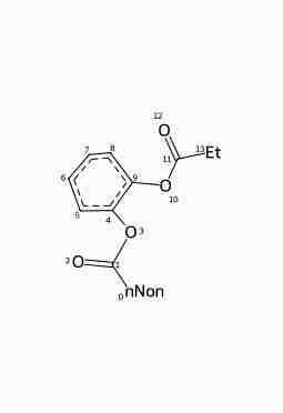 CCCCCCCCCC(=O)Oc1ccccc1OC(=O)CC